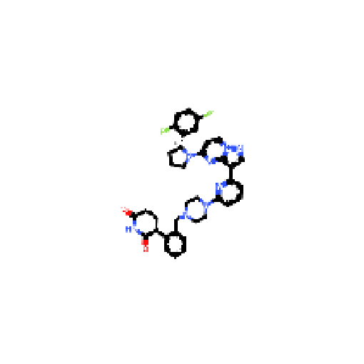 O=C1CCC(c2ccccc2CN2CCN(c3cccc(-c4cnn5ccc(N6CCC[C@@H]6c6cc(F)ccc6F)nc45)n3)CC2)C(=O)N1